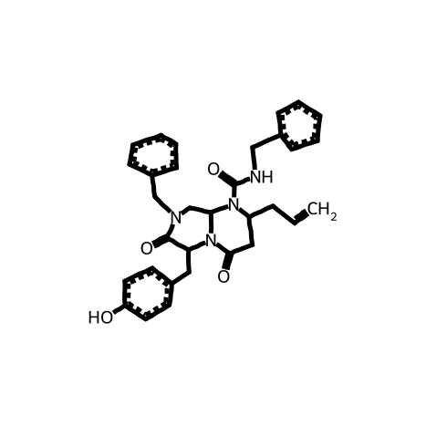 C=CCC1CC(=O)N2C(Cc3ccc(O)cc3)C(=O)N(Cc3ccccc3)CC2N1C(=O)NCc1ccccc1